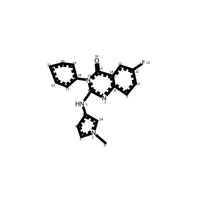 Cn1ccc(Nc2nc3ccc(F)cc3c(=O)n2-c2ccccc2)c1